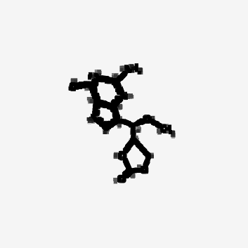 CO[C@@H](C1COC(=O)O1)n1cnc2c(=O)[nH]c(N)nc21